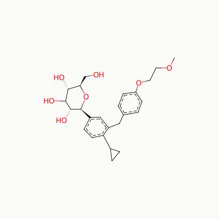 COCCOc1ccc(Cc2cc([C@@H]3O[C@H](CO)[C@@H](O)C(O)[C@H]3O)ccc2C2CC2)cc1